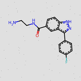 NCCNC(=O)c1ccc2[nH]nc(-c3ccc(F)cc3)c2c1